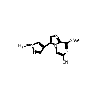 CSc1nc(C#N)cn2c(-c3cnn(C)c3)cnc12